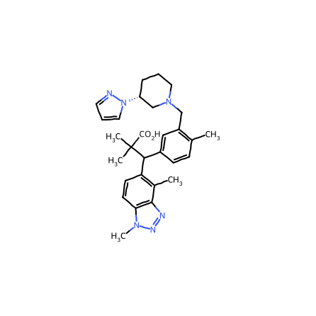 Cc1ccc(C(c2ccc3c(nnn3C)c2C)C(C)(C)C(=O)O)cc1CN1CCC[C@@H](n2cccn2)C1